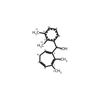 CC1=C(C)C(C(O)c2cccc(C)c2C)=CCC=C1